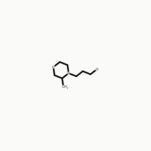 CC1COCCN1CCC[O]